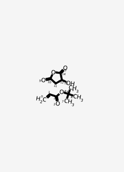 C=CC(=O)OC(C)(C)C.O=C1CC(O)C(=O)O1